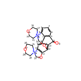 O=C1c2cccc3c2-c2cc4c(c(c21)OC[N+]31CCOCC1)OC[N+]41CCOCC1